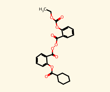 CCOC(=O)Oc1ccccc1C(=O)OOC(=O)c1ccccc1OC(=O)C1CCCCC1